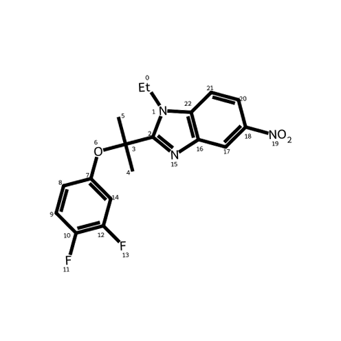 CCn1c(C(C)(C)Oc2ccc(F)c(F)c2)nc2cc([N+](=O)[O-])ccc21